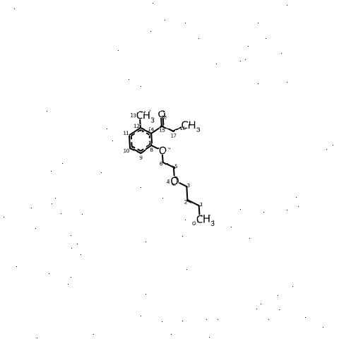 CCCCOCCOc1cccc(C)c1C(=O)CC